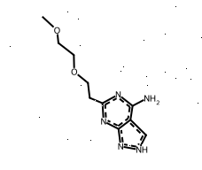 COCCOCCc1nc(N)c2c[nH]nc2n1